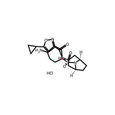 Cl.NC1CCN(S(=O)(=O)N2[C@@H]3CC[C@H]2C[C@@H](NC(=O)c2cc(C4CC4)on2)C3)CC1